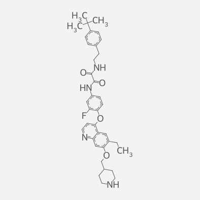 CCc1cc2c(Oc3ccc(NC(=O)C(=O)NCCc4ccc(C(C)(C)C)cc4)cc3F)ccnc2cc1OCC1CCNCC1